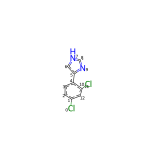 Clc1ccc(-c2c[nH][c]n2)c(Cl)c1